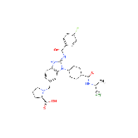 CC(C)NC(=O)C1CCC(n2/c(=N/C(=O)c3ccc(F)cc3)[nH]c3ccc(CN4CCC[C@@H]4C(=O)O)cc32)CC1.Cl